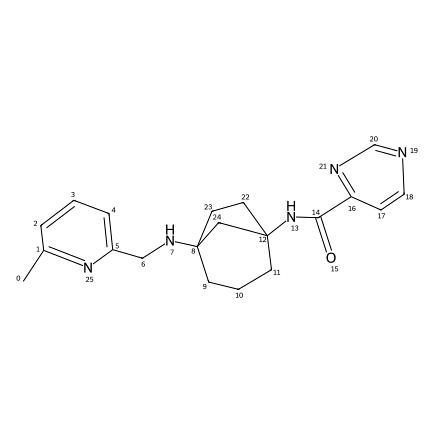 Cc1cccc(CNC23CCCC(NC(=O)c4ccncn4)(CC2)C3)n1